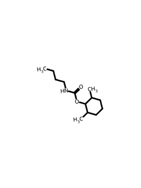 CCCCNC(=O)OC1C(C)CCCC1C